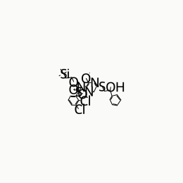 COc1nc(SCC(O)c2ccccc2)cnc1N(COCC[Si](C)(C)C)S(=O)(=O)c1cccc(Cl)c1Cl